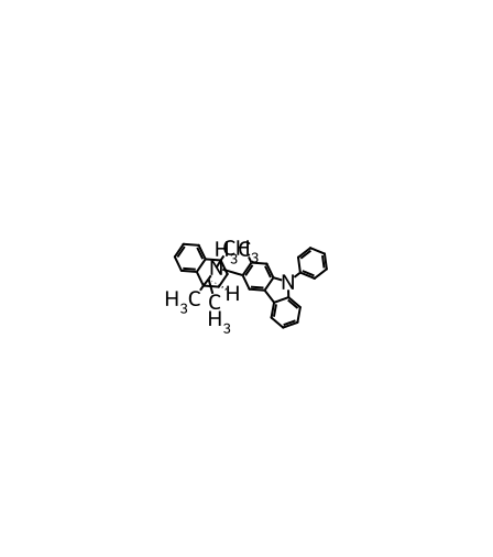 Cc1cc2c(cc1N1[C@@H](C)C3(C)CCC1(C)c1ccccc13)c1ccccc1n2-c1ccccc1